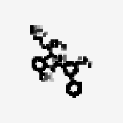 Cc1cccc2c1N=C(c1cc(-c3ccccc3)cc(C(F)(F)F)c1)NC2N(C)CCCN